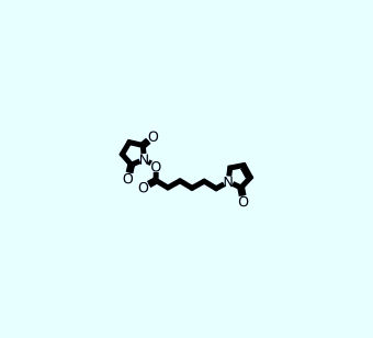 O=C(CCCCCN1CC=CC1=O)ON1C(=O)CCC1=O